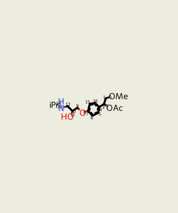 COCC(OC(C)=O)c1ccc(OCC(O)CNC(C)C)cc1